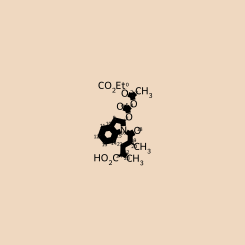 CCOC(=O)OC(C)OC(=O)O[C@H]1Cc2ccccc2N1C(=O)[C@H](C)C[C@@H](C)C(=O)O